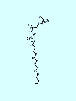 CCCCCCCCCCCCCC[NH+]([O-])C/C=C(/C)CCC=C(C)C